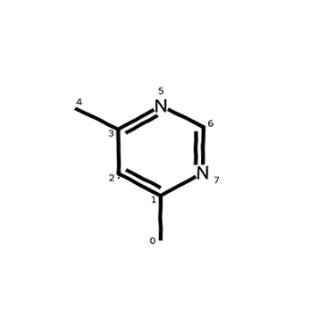 Cc1[c]c(C)ncn1